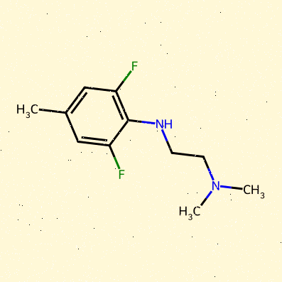 Cc1cc(F)c(NCCN(C)C)c(F)c1